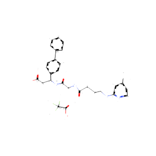 Cc1ccnc(NCCCC(=O)NCC(=O)NC(CC(=O)O)c2ccc(-c3ccccc3)cc2)c1.O=C(O)C(F)(F)F